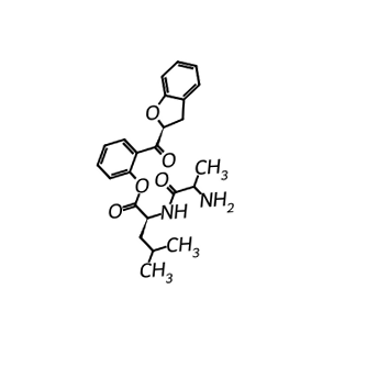 CC(C)C[C@H](NC(=O)C(C)N)C(=O)Oc1ccccc1C(=O)[C@@H]1Cc2ccccc2O1